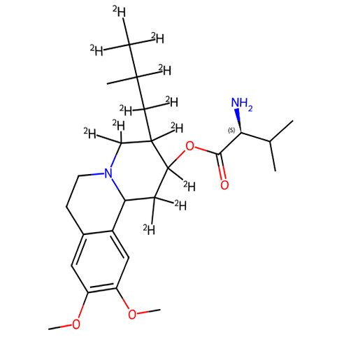 [2H]C([2H])([2H])C([2H])(C)C([2H])([2H])C1([2H])C([2H])([2H])N2CCc3cc(OC)c(OC)cc3C2C([2H])([2H])C1([2H])OC(=O)[C@@H](N)C(C)C